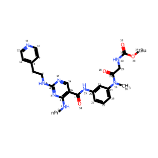 CCCNc1nc(NCCc2ccncc2)ncc1C(=O)Nc1cccc(N(C)C(=O)CNC(=O)OC(C)(C)C)c1